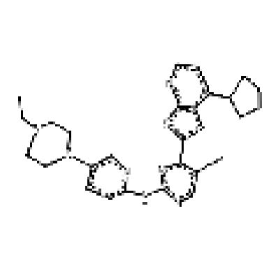 CCN1CCN(c2ccc(Nc3ncc(F)c(-c4cc5c(C6CCCC6)ccnc5s4)n3)nc2)CC1